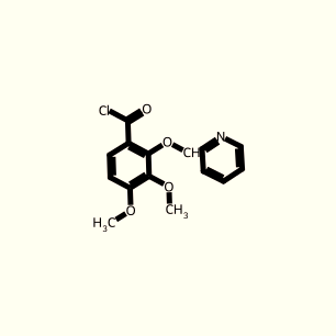 COc1ccc(C(=O)Cl)c(OC)c1OC.c1ccncc1